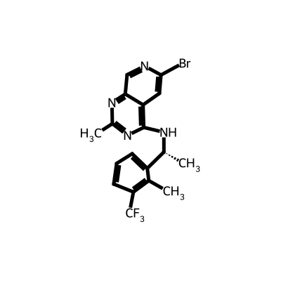 Cc1nc(N[C@H](C)c2cccc(C(F)(F)F)c2C)c2cc(Br)ncc2n1